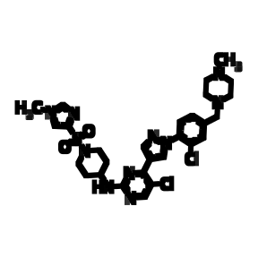 CN1CCN(Cc2ccc(-n3cc(-c4nc(NC5CCN(S(=O)(=O)c6cn(C)cn6)CC5)ncc4Cl)cn3)c(Cl)c2)CC1